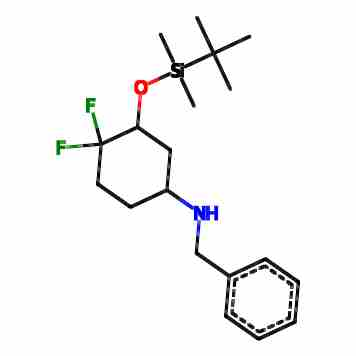 CC(C)(C)[Si](C)(C)OC1CC(NCc2ccccc2)CCC1(F)F